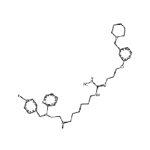 CN(CCCCCCN/C(=N/CCCOc1cccc(CN2CCCCC2)c1)NC#N)CCN(Cc1ccc(F)cc1)c1ccccn1